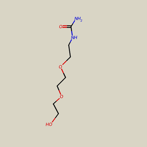 NC(=O)NCCOCCOCCO